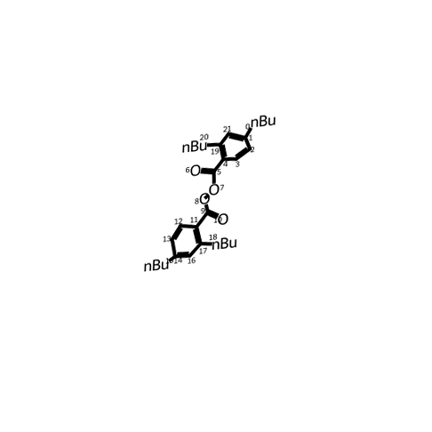 CCCCc1ccc(C(=O)OOC(=O)c2ccc(CCCC)cc2CCCC)c(CCCC)c1